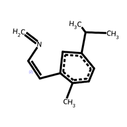 C=N/C=C\c1cc(C(C)C)ccc1C